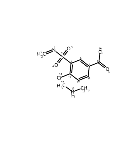 C=NS(=O)(=O)c1cc(C(=O)Cl)ccc1Cl.CNC